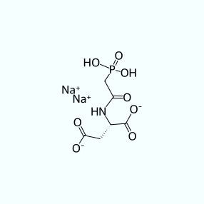 O=C([O-])C[C@H](NC(=O)CP(=O)(O)O)C(=O)[O-].[Na+].[Na+]